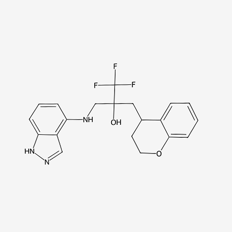 OC(CNc1cccc2[nH]ncc12)(CC1CCOc2ccccc21)C(F)(F)F